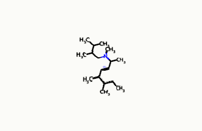 CCC(C)C(C)/C=C/C(C)N(C)CC(C)C(C)C